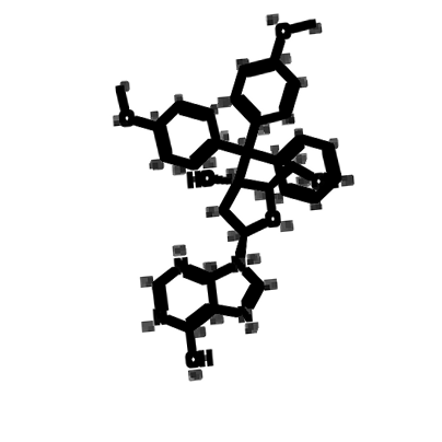 COc1ccc(C(c2ccccc2)(c2ccc(OC)cc2)[C@]2(O)C[C@H](n3cnc4c(O)ncnc43)O[C@@H]2CO)cc1